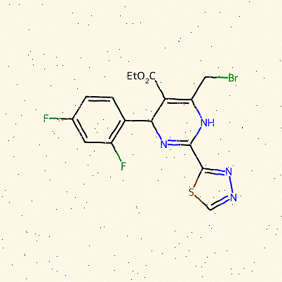 CCOC(=O)C1=C(CBr)NC(c2nncs2)=NC1c1ccc(F)cc1F